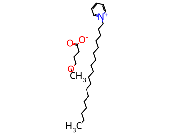 CCCCCCCCCCCCCCCCCC[n+]1ccccc1.COCCCC(=O)[O-]